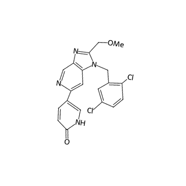 COCc1nc2cnc(-c3ccc(=O)[nH]c3)cc2n1Cc1cc(Cl)ccc1Cl